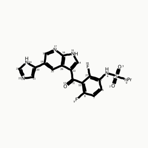 CCCS(=O)(=O)Nc1ccc(F)c(C(=O)c2c[nH]c3ncc(-c4cnc[nH]4)cc23)c1F